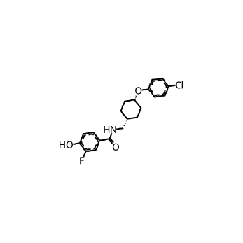 O=C(NC[C@H]1CC[C@@H](Oc2ccc(Cl)cc2)CC1)c1ccc(O)c(F)c1